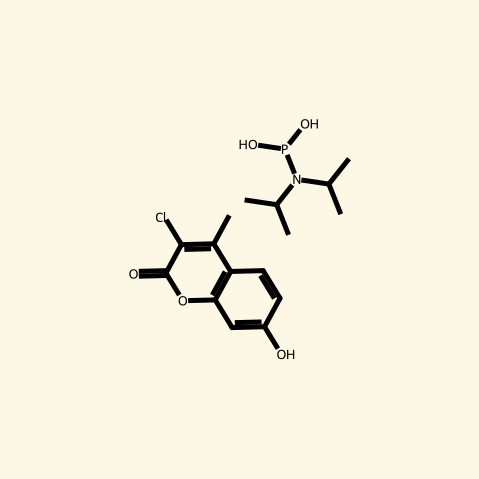 CC(C)N(C(C)C)P(O)O.Cc1c(Cl)c(=O)oc2cc(O)ccc12